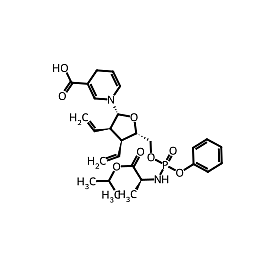 C=C[C@@H]1[C@H](C=C)[C@@H](COP(=O)(N[C@@H](C)C(=O)OC(C)C)Oc2ccccc2)O[C@H]1N1C=CCC(C(=O)O)=C1